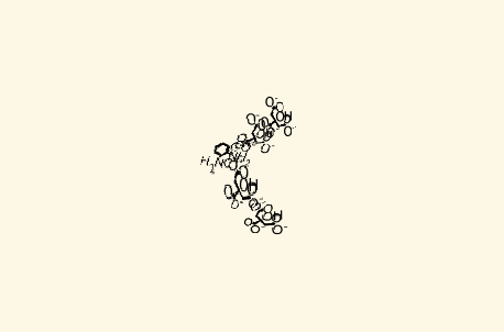 Nc1ccccc1N.O=C([O-])CC(O)(CC(=O)[O-])C(=O)[O-].O=C([O-])CC(O)(CC(=O)[O-])C(=O)[O-].O=C([O-])CC(O)(CC(=O)[O-])C(=O)[O-].O=C([O-])CC(O)(CC(=O)[O-])C(=O)[O-].[C+4].[C+4].[C+4]